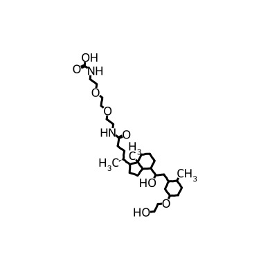 CC1CCC(OCCO)CC1CC(O)C1CCCC2(C)C1CCC2[C@H](C)CCC(=O)NCCOCCOCCNC(=O)O